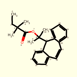 CCC(C)(C)C(=O)OC(C)(C)C1c2ccccc2C=Cc2ccccc21